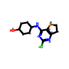 OC1CCC(Nc2nc(Cl)nc3c2SCC3)CC1